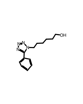 OCCCCCCn1nnnc1-c1ccccc1